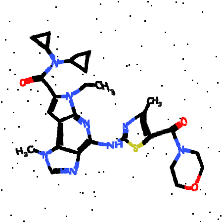 CCn1c(C(=O)N(C2CC2)C2CC2)cc2c3c(ncn3C)c(Nc3nc(C)c(C(=O)N4CCOCC4)s3)nc21